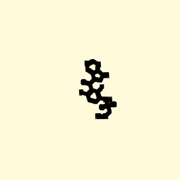 CNCS(=O)(=O)Nc1ccc(F)c(C(=O)c2c[nH]c3ncncc23)c1F